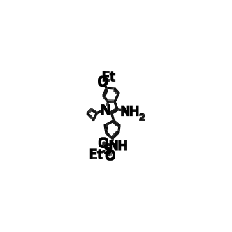 CCOc1ccc2c(N)c(-c3ccc(NS(=O)(=O)CC)cc3)n(C3CCC3)c2c1